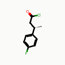 C[C@@H](CC(=O)Cl)c1ccc(F)cc1